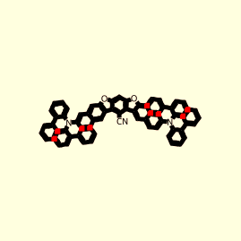 N#Cc1c2c(cc3oc4cc5cc(N(c6ccccc6-c6ccccc6)c6ccccc6-c6ccccc6)ccc5cc4c13)oc1cc3cc(N(c4ccccc4-c4ccccc4)c4ccccc4-c4ccccc4)ccc3cc12